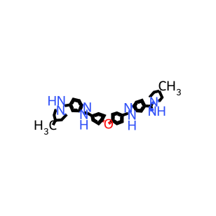 CC1CCN(C(=N)c2ccc3nc(-c4ccc(Oc5ccc(-c6nc7ccc(C(=N)N8CCC(C)CC8)cc7[nH]6)cc5)cc4)[nH]c3c2)CC1